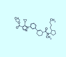 CCCCC1CCCC1N(C)C(=O)C1C=C(c2cccc(-n3ncc(C(=O)OCC)c3C3CC3)c2)CCC1